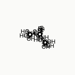 O=C(Nc1cc(S(F)(F)(F)(F)F)cc(NC(=O)c2cc(O)c(O)c(O)c2)c1O)c1cc(O)c(O)c(O)c1